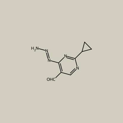 NN=Nc1nc(C2CC2)ncc1C=O